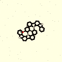 N#Cc1cccc(-c2ccccc2-n2c3ccccc3c3ccc4oc5ccccc5c4c32)c1-n1c2ccccc2c2ccc3oc4ccccc4c3c21